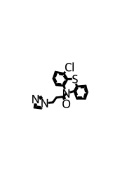 O=C(CCn1ccnc1)N1c2ccccc2Sc2c(Cl)cccc21